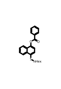 CCCCCCSc1ccc(OC(=O)c2ccccc2)c2ccccc12